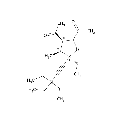 CC[C@@]1(C#C[Si](CC)(CC)CC)OC(C(C)=O)[C@H](C(C)=O)[C@@H]1C